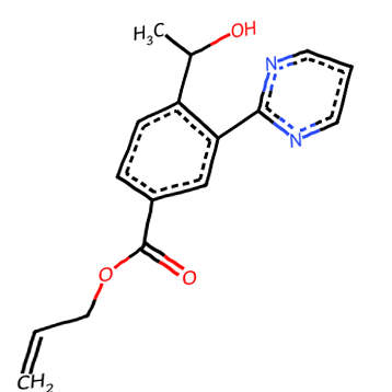 C=CCOC(=O)c1ccc(C(C)O)c(-c2ncccn2)c1